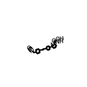 O=C(NO)c1cccc(-c2ccc(C#Cc3ccc(CN4CCOCC4)cc3)cc2)n1